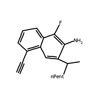 C#Cc1cccc2c(F)c(N)c(C(C)CCCCC)cc12